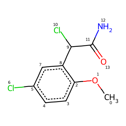 COc1ccc(Cl)cc1C(Cl)C(N)=O